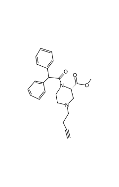 C#CCCN1CCN(C(=O)C(c2ccccc2)c2ccccc2)[C@H](C(=O)OC)C1